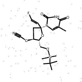 Cc1cn([C@@]2(C=CF)C[C@H](OC#N)[C@@H](CO[Si](C)(C)C(C)(C)C)O2)c(=O)[nH]c1=O